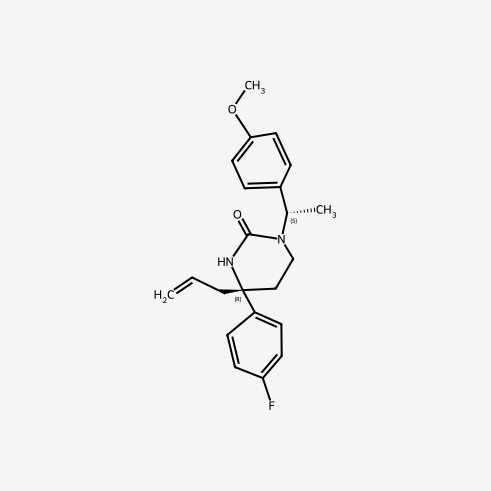 C=CC[C@]1(c2ccc(F)cc2)CCN([C@@H](C)c2ccc(OC)cc2)C(=O)N1